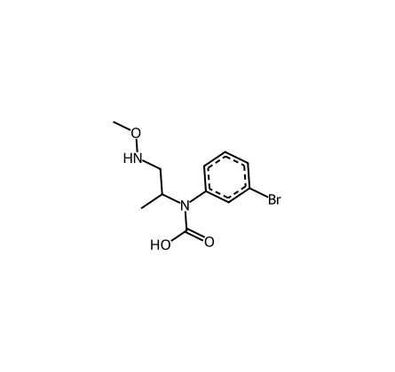 CONCC(C)N(C(=O)O)c1cccc(Br)c1